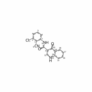 N#Cc1c(Cl)cccc1NC(=O)c1c[nH]c2ccccc2c1=O